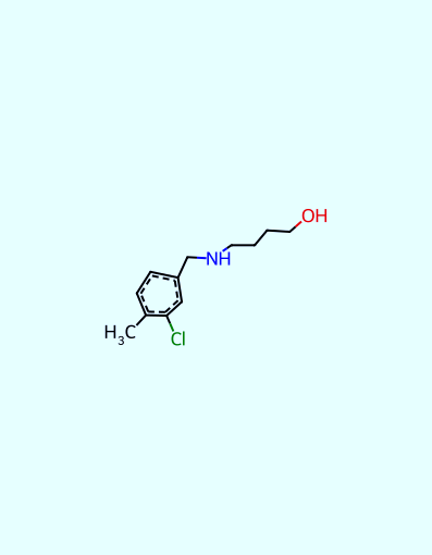 Cc1ccc(CNCCCCO)cc1Cl